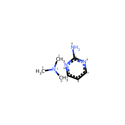 CN(C)C.Nc1ncccn1